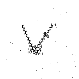 CCCCCCCCCCCCCCCC(C(=O)O)C(=O)N(C(=O)NCCOCCOCC(=O)NCCCCCN)C(CC)C(=O)O